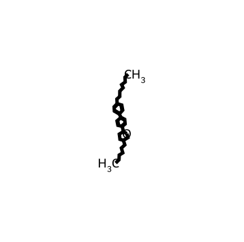 CCCCCCCCc1ccc(-c2ccc(C3CCC(CCCCCC)CO3)cc2)cc1